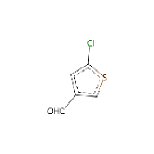 O=Cc1csc(Cl)c1